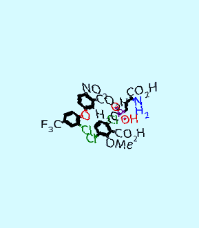 COc1c(Cl)ccc(Cl)c1C(=O)O.CP(=O)(O)CCC(N)C(=O)O.O=C(O)c1cc(Oc2ccc(C(F)(F)F)cc2Cl)ccc1[N+](=O)[O-]